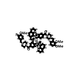 COc1ccc(CN2CCN(C(=O)c3ccc(NS(=O)(=O)c4cccc5cccnc45)c(OCc4ccc5cccnc5c4S(=O)(=O)Nc4ccc(C(=O)N5CCN(Cc6cccc(OC)c6OC)CC5)cc4)c3)CC2)cc1F